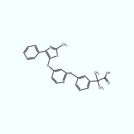 Cc1nc(-c2ccccc2)c(Oc2ccnc(Nc3cccc(C(C)(C)C(=O)O)c3)c2)s1